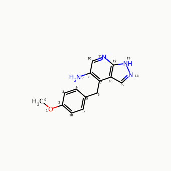 COc1ccc(Cc2c(N)cnc3[nH]ncc23)cc1